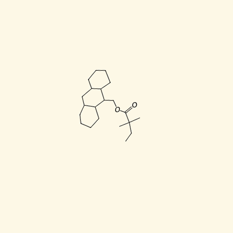 CCC(C)(C)C(=O)OCC1C2CCCCC2CC2CCCCC21